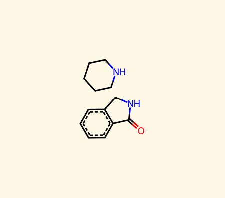 C1CCNCC1.O=C1NCc2ccccc21